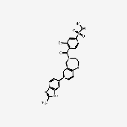 CCc1cc(S(=O)(=O)NC(C)C)ccc1C(=O)N1CCOc2ccc(-c3ccc4nc(C)[nH]c4c3)cc2C1